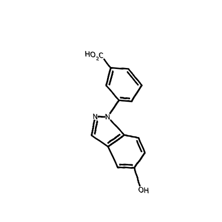 O=C(O)c1cccc(-n2ncc3cc(O)ccc32)c1